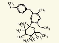 CCc1ccc(Cc2cc(C3(C)SC(C)(CC)C(C)(C)C(C)C3(C)C)c(CC)cc2C)cc1